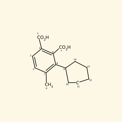 Cc1ccc(C(=O)O)c(C(=O)O)c1C1CCCCC1